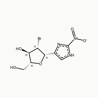 O=[N+]([O-])c1nc([C@@H]2O[C@H](CO)[C@@H](O)[C@@H]2Br)c[nH]1